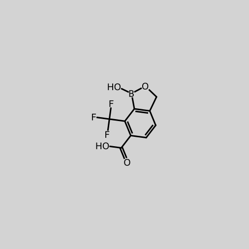 O=C(O)c1ccc2c(c1C(F)(F)F)B(O)OC2